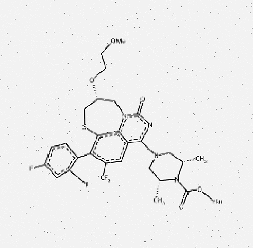 COCCO[C@H]1CSc2c(-c3ccc(F)cc3F)c(C(F)(F)F)cc3c(N4C[C@@H](C)N(C(=O)OC(C)(C)C)[C@@H](C)C4)nc(=O)n(c23)C1